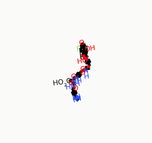 C[C@]12C=CC(=O)C=C1[C@@H](F)C[C@@H]1[C@@H]2[C@@H](O)C[C@@]2(C)[C@H]1C[C@H]1CN(c3ccc(CC45CC(NC(=O)OCc6ccc(NC(=O)[C@H](CCC(=O)O)NC(=O)CNC(=O)Cc7ccc(-c8nncnn8)cc7)cc6)(C4)C5)cc3)C[C@]12C(=O)CO